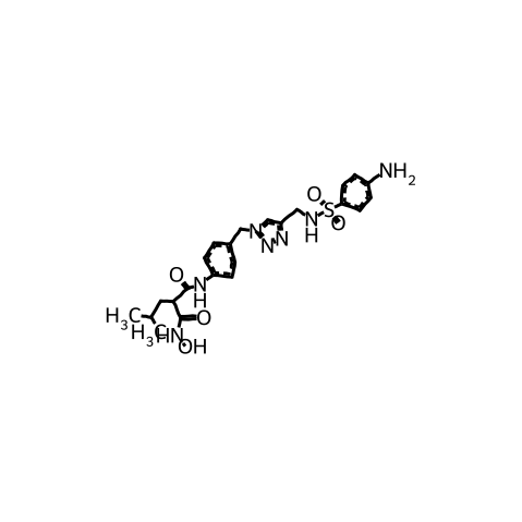 CC(C)CC(C(=O)NO)C(=O)Nc1ccc(Cn2cc(CNS(=O)(=O)c3ccc(N)cc3)nn2)cc1